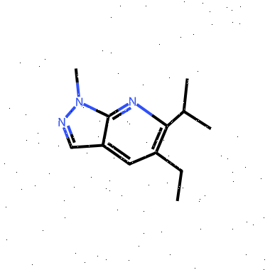 CCc1cc2cnn(C)c2nc1C(C)C